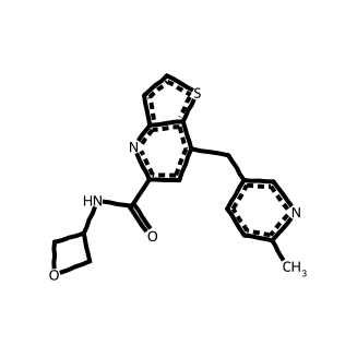 Cc1ccc(Cc2cc(C(=O)NC3COC3)nc3ccsc23)cn1